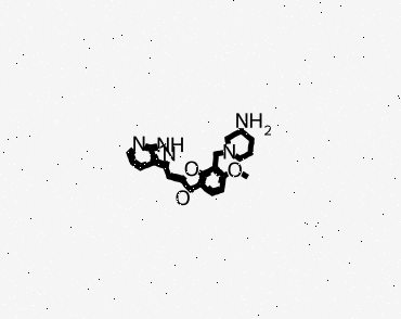 COc1ccc2c(c1CN1CCCC(N)C1)OC(=Cc1n[nH]c3ncccc13)C2=O